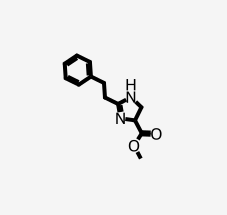 COC(=O)C1CNC(CCc2ccccc2)=N1